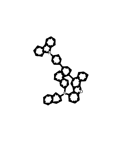 c1ccc2cc(N(c3ccc4ccccc4c3)c3cccc4oc5c6ccccc6c(-c6ccc(-c7ccc(-n8c9ccccc9c9ccccc98)cc7)cc6)cc5c34)ccc2c1